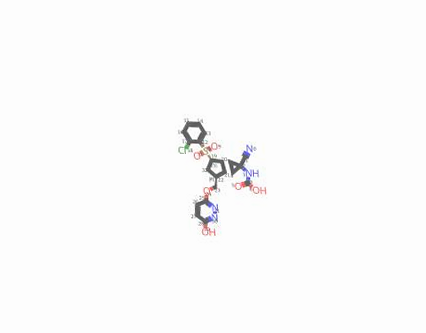 N#CC1(NC(=O)O)CC1.O=S(=O)(c1ccccc1Cl)[C@H]1CC[C@@H](COc2ccc(O)nn2)C1